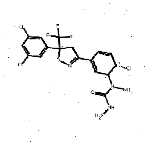 NN(C(=O)NP)C1C=C(C2=NOC(c3cc(Cl)cc(Cl)c3)(C(F)(F)F)C2)C=C[C@@H]1Cl